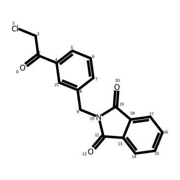 O=C(CCl)c1cccc(CN2C(=O)c3ccccc3C2=O)c1